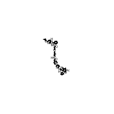 CC(=O)c1c(C)c2cnc(Nc3ccc(N4CCN(CC(=O)NCCOCCOCCC(=O)Nc5ccccc5C(=O)Nc5ccc(OC6CC6)nn5)CC4)cn3)nc2n(C2CCCC2)c1=O